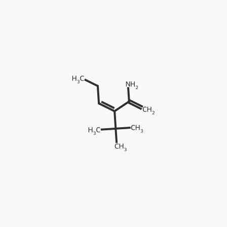 C=C(N)/C(=C\CC)C(C)(C)C